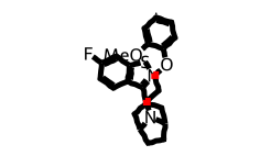 COc1c[c]ccc1OCCCN1C2CCC1CC(c1nsc3cc(F)ccc13)C2